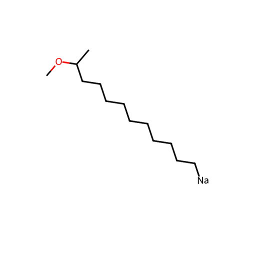 COC(C)CCCCCCCCC[CH2][Na]